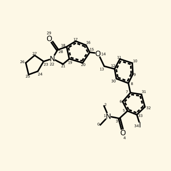 CN(C)C(=O)c1cc(-c2cccc(COc3ccc4c(c3)CN(C3CCCC3)C4=O)c2)ccc1I